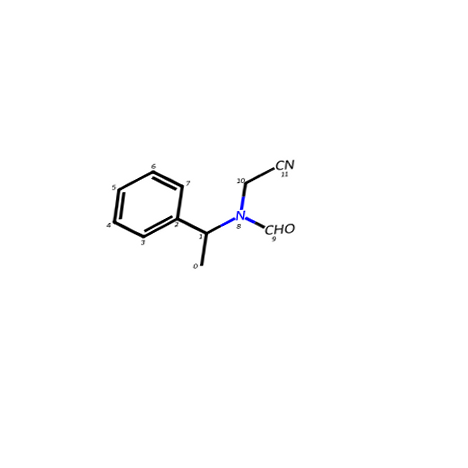 CC(c1ccccc1)N(C=O)CC#N